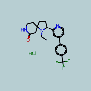 CCN1[C@H](c2cc(-c3ccc(C(F)(F)F)cc3)ccn2)CCC12CCNC(=O)C2.Cl